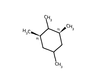 CC1C[C@@H](C)C(C)[C@@H](C)C1